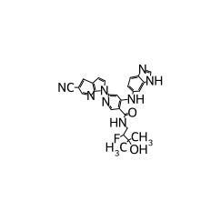 CC(C)(O)C(F)CNC(=O)c1cnc(-n2ccc3cc(C#N)cnc32)cc1Nc1ccc2nc[nH]c2c1